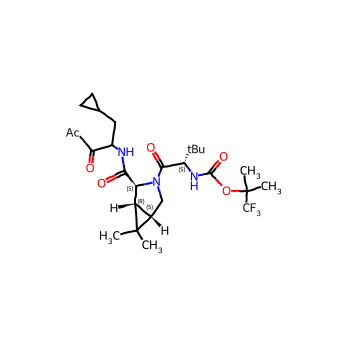 CC(=O)C(=O)C(CC1CC1)NC(=O)[C@@H]1[C@@H]2[C@H](CN1C(=O)[C@@H](NC(=O)OC(C)(C)C(F)(F)F)C(C)(C)C)C2(C)C